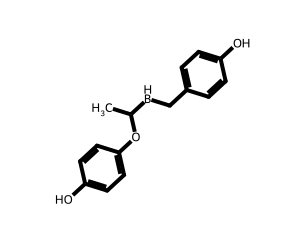 CC(BCc1ccc(O)cc1)Oc1ccc(O)cc1